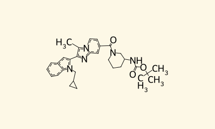 Cc1c(-c2cc3ccccc3n2CC2CC2)nc2cc(C(=O)N3CCCC(NC(=O)OC(C)(C)C)C3)ccn12